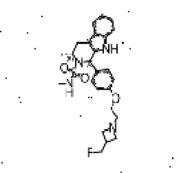 CNS(=O)(=O)N1[C@H](c2ccc(OCCN3CC(CF)C3)cc2)c2[nH]c3ccccc3c2C[C@H]1C